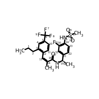 CCCc1cc(C(F)(F)F)ccc1/C=C(/C)C(=O)N[C@H](C)c1ccc(NS(C)(=O)=O)c(F)c1